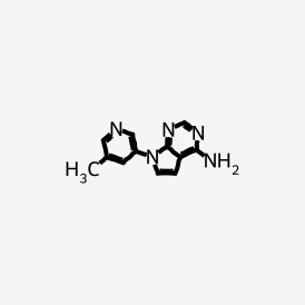 Cc1cncc(-n2ccc3c(N)ncnc32)c1